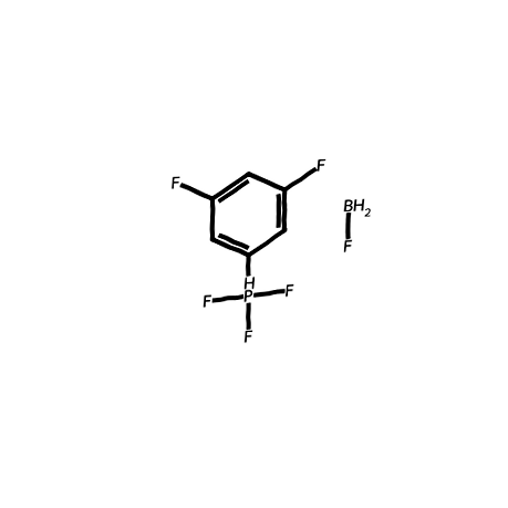 BF.Fc1cc(F)cc([PH](F)(F)F)c1